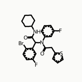 O=C(NC1CCCCC1)C(c1cc(F)ccc1Br)N(C(=O)Cc1cccs1)c1cccc(F)c1